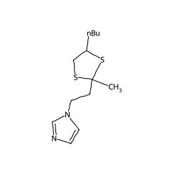 CCCCC1CSC(C)(CCn2ccnc2)S1